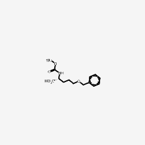 CC(C)(C)OC(=O)N[C@H](CCCOCc1ccccc1)C(=O)O